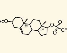 CC(=O)OC1CC[C@@]2(C)C(=CCC3C4CCC(OS(=O)(=O)C(F)(F)F)[C@@]4(C)CCC32)C1